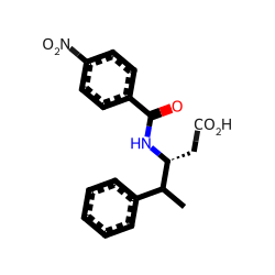 CC(c1ccccc1)[C@@H](CC(=O)O)NC(=O)c1ccc([N+](=O)[O-])cc1